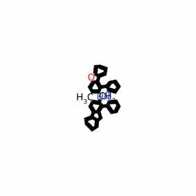 Cc1cc2c(c(-c3ccccc3Nc3ccccc3-c3cccc4oc5ccccc5c34)c1C)Cc1ccccc1-2